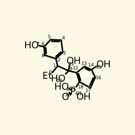 CCC(c1cccc(O)c1)C(O)(O)c1cc(O)ccc1P(=O)(O)O